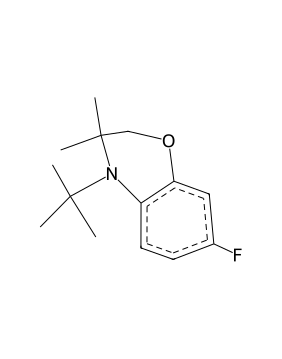 CC(C)(C)N1c2ccc(F)cc2OCC1(C)C